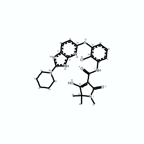 CN1C(=O)C(C(=O)Nc2cccc(Sc3ccc4nc(N5CCCCC5)[nH]c4n3)c2Cl)=C(O)C1(C)C